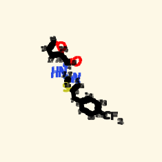 O=C(Nc1ncc(Cc2ccc(C(F)(F)F)cc2)s1)c1ccco1